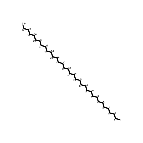 CCCCCCCCCCCCCCCCCCCCCCCCCCCCCCCCCCI